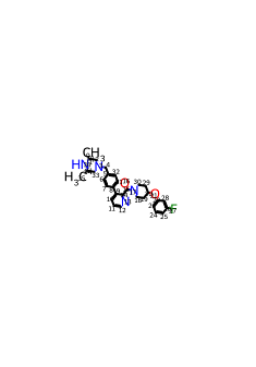 C[C@@H]1CN(Cc2ccc(-c3cccnc3C(=O)N3CCC(Oc4cccc(F)c4)CC3)cc2)C[C@H](C)N1